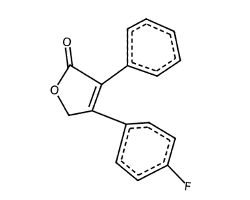 O=C1OCC(c2ccc(F)cc2)=C1c1ccccc1